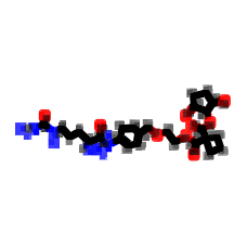 NC(=O)NCCC[C@H](N)C(=O)Nc1ccc(COCCOC(=O)C2(C(=O)OC3C(=O)CCC3=O)CCC2)cc1